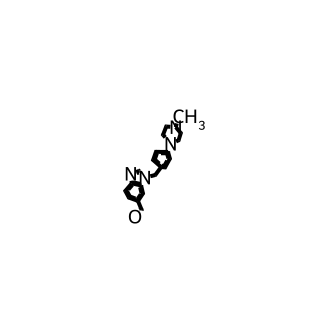 CN1CCN(c2ccc(Cn3cnc4ccc(C=O)cc43)cc2)CC1